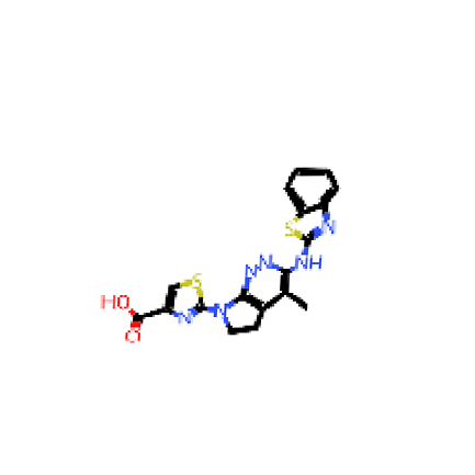 Cc1c(Nc2nc3ccccc3s2)nnc2c1CCN2c1nc(C(=O)O)cs1